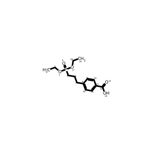 CCOP(=O)(CCCc1ccc(C(=O)O)cc1)OCC